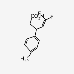 Cc1ccc(C(C=C(F)F)CC(=O)O)cc1